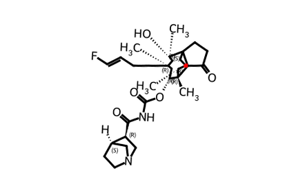 C[C@@H]1CCC23CCC(=O)C2[C@]1(C)[C@H](OC(=O)NC(=O)[C@H]1CN2CC[C@@H]1C2)C[C@@](C)(CC=CF)[C@@H](O)[C@@H]3C